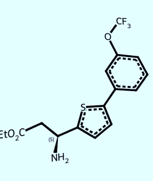 CCOC(=O)C[C@H](N)c1ccc(-c2cccc(OC(F)(F)F)c2)s1